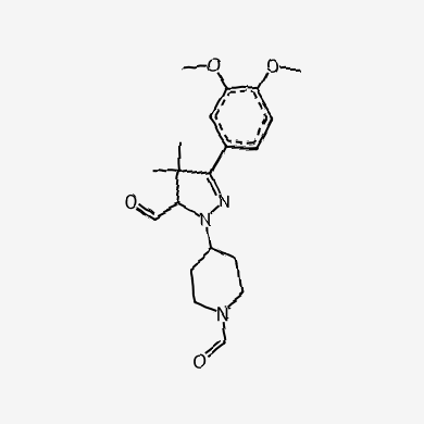 COc1ccc(C2=NN(C3CCN(C=O)CC3)C(C=O)C2(C)C)cc1OC